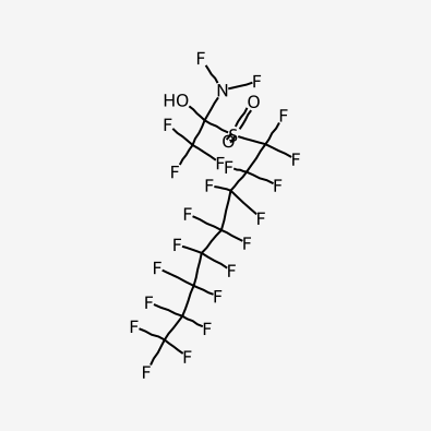 O=S(=O)(C(F)(F)C(F)(F)C(F)(F)C(F)(F)C(F)(F)C(F)(F)C(F)(F)C(F)(F)F)C(O)(N(F)F)C(F)(F)F